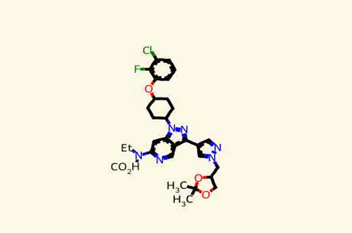 CCN(C(=O)O)c1cc2c(cn1)c(-c1cnn(CC3COC(C)(C)O3)c1)nn2C1CCC(Oc2cccc(Cl)c2F)CC1